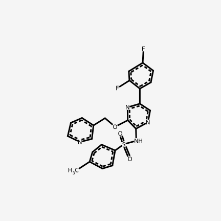 Cc1ccc(S(=O)(=O)Nc2ncc(-c3ccc(F)cc3F)nc2OCc2cccnc2)cc1